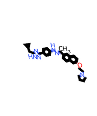 C/C(=N\Nc1ccc(-c2n[nH]c(CC3CC3)n2)cc1)c1ccc2cc(OCCN3CCCC3)ccc2c1